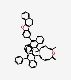 C=C1/C=C\C=C(\c2c3ccccc3c(-c3ccccc3)c3ccccc23)C(C)(c2c3ccccc3c(-c3ccc4oc5c6ccccc6ccc5c4c3)c3ccccc23)/C=C\C=C(/C)O1